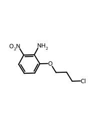 Nc1c(OCCCCl)cccc1[N+](=O)[O-]